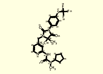 CN(C(=O)Nc1cc(CN2C(=O)N(c3ccc(SC(F)(F)F)cc3)C(=O)C2(C)C)ccn1)C1CCCC1